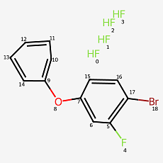 F.F.F.F.Fc1cc(Oc2ccccc2)ccc1Br